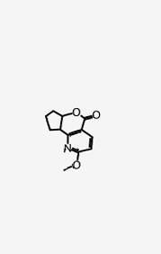 COc1ccc2c(n1)C1CCCC1OC2=O